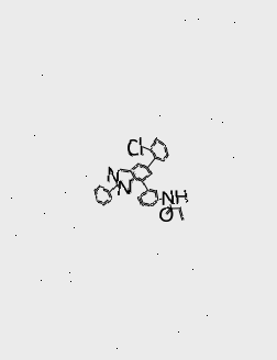 C=CC(=O)Nc1cccc(-c2cc(-c3ccccc3Cl)cc3cnc(-c4ccccc4)nc23)c1